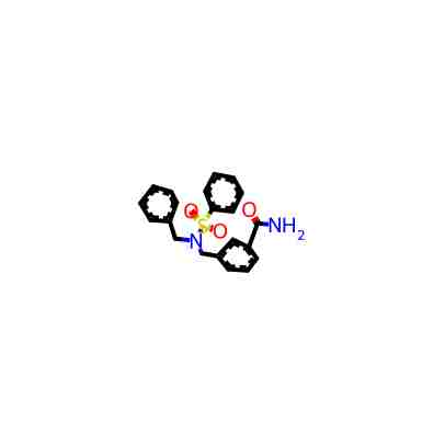 NC(=O)c1cccc(CN(Cc2ccccc2)S(=O)(=O)c2ccccc2)c1